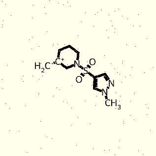 [CH2-][C+]1CCCN(S(=O)(=O)c2cnn(C)c2)C1